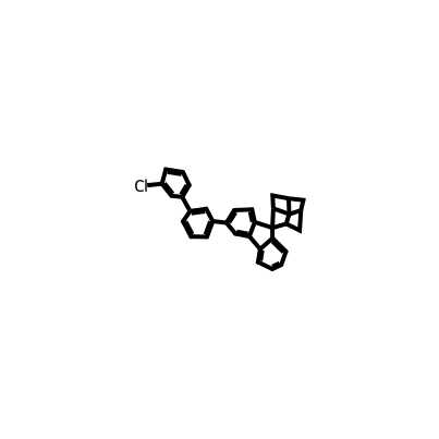 Clc1cccc(-c2cccc(-c3ccc4c(c3)-c3ccccc3C43C4CC5CC6CC3C564)c2)c1